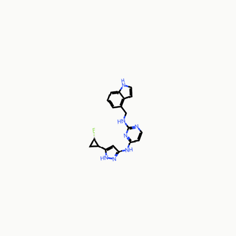 F[C@H]1CC1c1cc(Nc2ccnc(NCc3cccc4[nH]ccc34)n2)n[nH]1